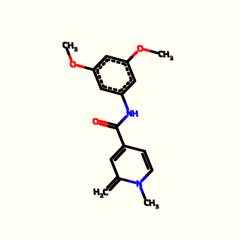 C=C1C=C(C(=O)Nc2cc(OC)cc(OC)c2)C=CN1C